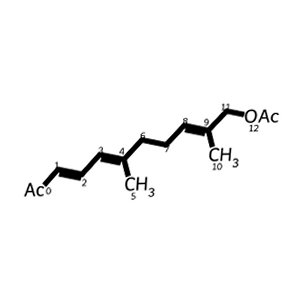 CC(=O)/C=C/C=C(\C)CC/C=C(\C)COC(C)=O